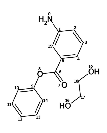 Nc1cccc(C(=O)Oc2ccccc2)c1.OCCO